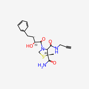 C#CCNC(=O)C1N(C(=O)[C@@H](O)[CH]Cc2ccccc2)CS[C@@]1(C)C(N)=O